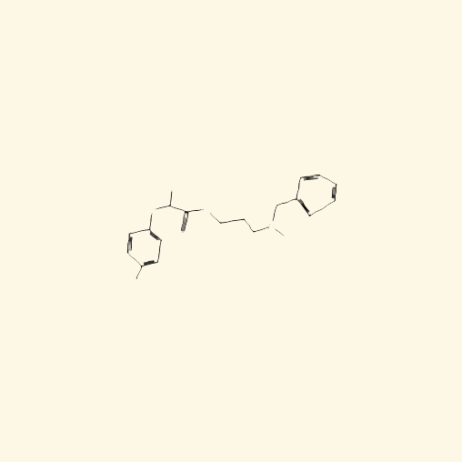 CC(Oc1ccc(O)cc1)C(=O)OCCCN(C)Cc1ccccc1